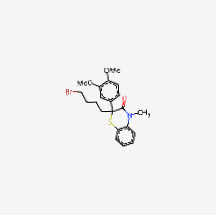 COc1ccc(C2(CCCCBr)Sc3ccccc3N(C)C2=O)cc1OC